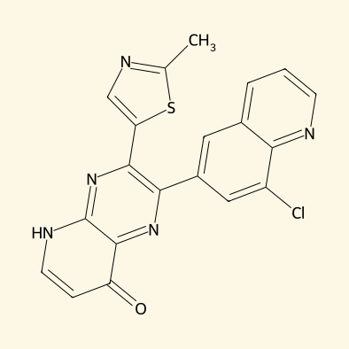 Cc1ncc(-c2nc3[nH]ccc(=O)c3nc2-c2cc(Cl)c3ncccc3c2)s1